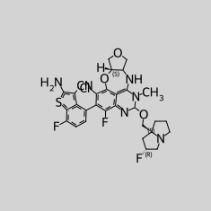 CN1C2=c3c(c(Cl)c(-c4ccc(F)c5sc(N)c(C#N)c45)c(F)c3=NC1OC[C@@]13CCCN1C[C@H](F)C3)O[C@@H]1COCC1N2